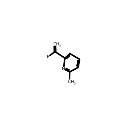 C=C(F)c1cccc(C)n1